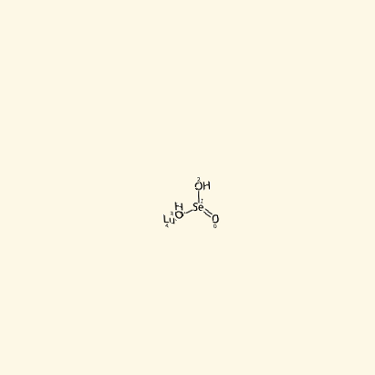 O=[Se](O)O.[Lu]